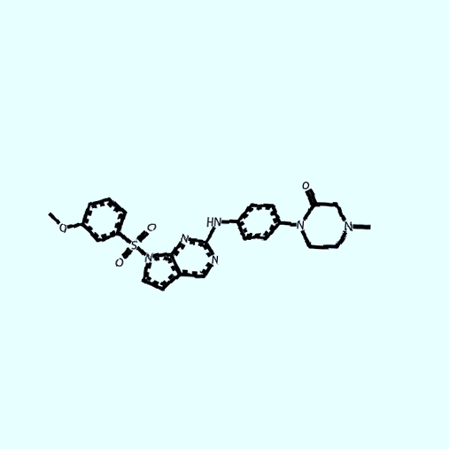 COc1cccc(S(=O)(=O)n2ccc3cnc(Nc4ccc(N5CCN(C)CC5=O)cc4)nc32)c1